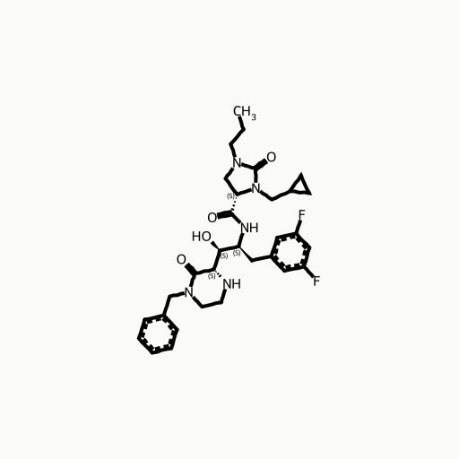 CCCN1C[C@@H](C(=O)N[C@@H](Cc2cc(F)cc(F)c2)[C@H](O)[C@@H]2NCCN(Cc3ccccc3)C2=O)N(CC2CC2)C1=O